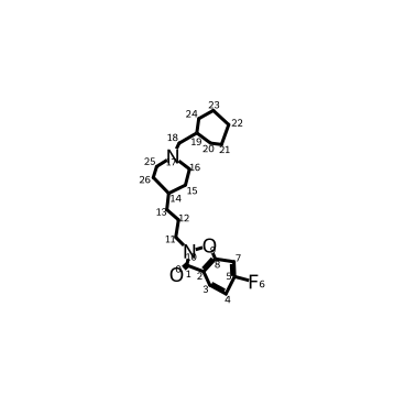 O=c1c2ccc(F)cc2on1CCCC1CCN(CC2CCCCC2)CC1